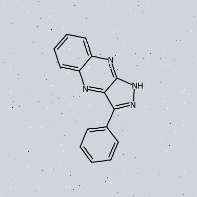 c1ccc(-c2n[nH]c3nc4ccccc4nc23)cc1